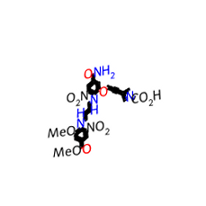 COC(=O)c1cc(OC)c(NCC=CCNc2c(OCC#CC3CN(C(=O)O)C3)cc(C(N)=O)cc2[N+](=O)[O-])c([N+](=O)[O-])c1